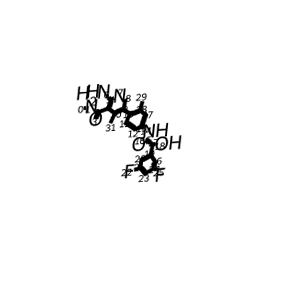 CNC(=O)c1c(N)ncc(-c2ccc(NC(=O)C(O)c3cc(F)cc(F)c3)cc2C)c1C